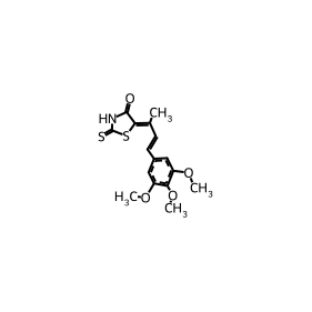 COc1cc(C=CC(C)=C2SC(=S)NC2=O)cc(OC)c1OC